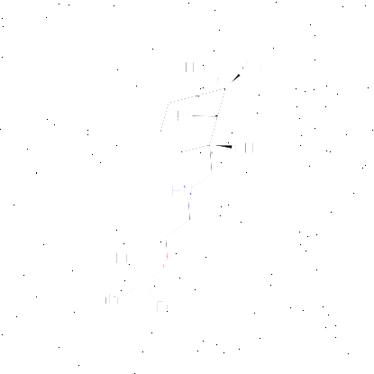 CC[Si](CC)(OCCNC[C@]1(C)CCC[C@H]2[C@@H](C)C21C(C)C)C(C)C